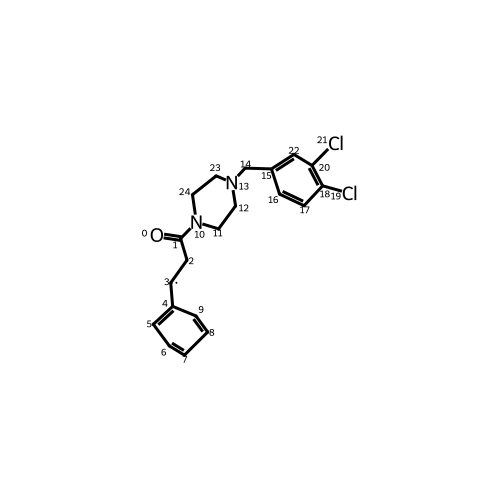 O=C(C[CH]c1ccccc1)N1CCN(Cc2ccc(Cl)c(Cl)c2)CC1